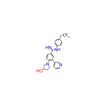 N=C(Nc1ccc(CC(F)(F)F)cc1)c1ccc(N2CC[C@@H](O)C2)c(-c2cccnc2)c1